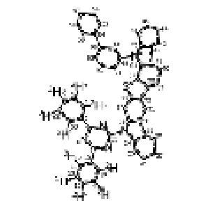 [2H]c1c([2H])c([2H])c(-c2nc(-c3c([2H])c([2H])c([2H])c([2H])c3[2H])nc(-n3c4ccccc4c4cc5c(cc43)sc3c5ccc4c5ccccc5n(-c5cccc(-c6ccccc6)c5)c43)n2)c([2H])c1[2H]